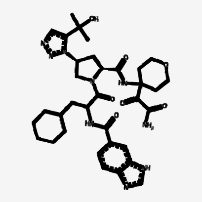 CC(C)(O)c1cnnn1[C@H]1C[C@@H](C(=O)NC2(C(=O)C(N)=O)CCOCC2)N(C(=O)C(CC2CCCCC2)NC(=O)c2ccc3nc[nH]c3c2)C1